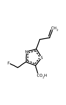 C=CCc1nc(CF)c(C(=O)O)s1